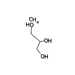 C.OCC(O)CO